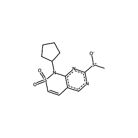 C[S+]([O-])c1ncc2c(n1)N(C1CCCC1)S(=O)(=O)C=C2